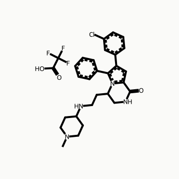 CN1CCC(NCCC2CNC(=O)c3cc(-c4cccc(Cl)c4)c(-c4ccccc4)n32)CC1.O=C(O)C(F)(F)F